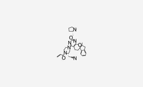 C=CC(=O)N1CCN(c2nc(OC[C@@H]3CCCN3C)nc3c2CCC2(O3)c3ccccc3CC2C)C[C@@H]1CC#N